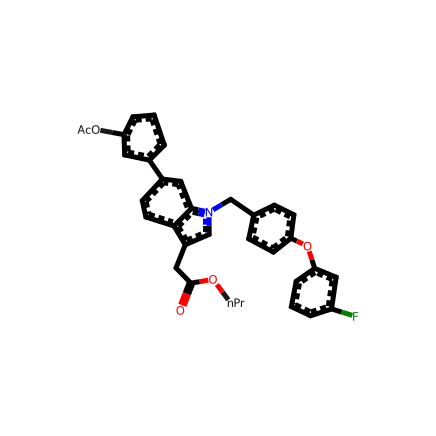 CCCOC(=O)Cc1cn(Cc2ccc(Oc3cccc(F)c3)cc2)c2cc(-c3cccc(OC(C)=O)c3)ccc12